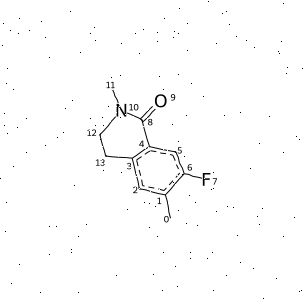 Cc1cc2c(cc1F)C(=O)N(C)CC2